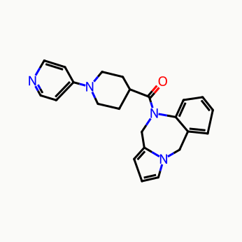 O=C(C1CCN(c2ccncc2)CC1)N1Cc2cccn2Cc2ccccc21